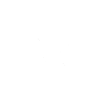 CC(C)(C)c1c2ccc(N(c3ccc(-c4ccccc4)cc3)c3ccc(-c4ccccc4)cc3)cc2c(C(C)(C)C)c2ccc(N(c3ccc(-c4ccccc4)cc3)c3ccc(-c4ccccc4)cc3)cc12